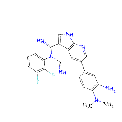 CN(C)c1ccc(-c2cnc3[nH]cc(C(=N)N(C=N)c4cccc(F)c4F)c3c2)cc1N